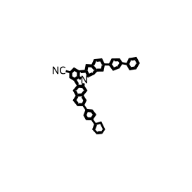 N#Cc1cc2c3cc4ccc(-c5ccc(C6=CC=CCC6)cc5)cc4cc3n3c4cc5cc(-c6ccc(-c7ccccc7)cc6)ccc5cc4c(c1)c23